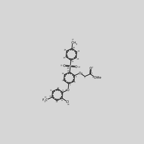 COC(=O)COc1cc(Oc2ccc(C(F)(F)F)cc2Cl)ccc1S(=O)(=O)c1ccc(C)cc1